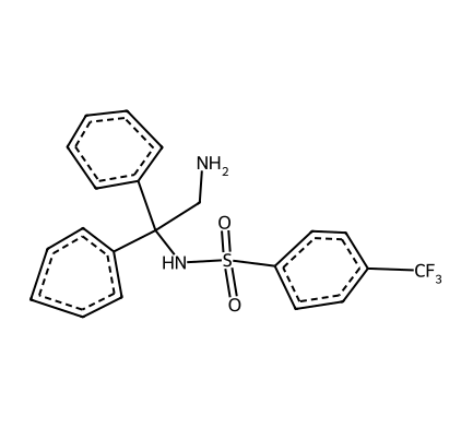 NCC(NS(=O)(=O)c1ccc(C(F)(F)F)cc1)(c1ccccc1)c1ccccc1